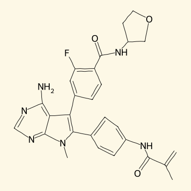 C=C(C)C(=O)Nc1ccc(-c2c(-c3ccc(C(=O)NC4CCOC4)c(F)c3)c3c(N)ncnc3n2C)cc1